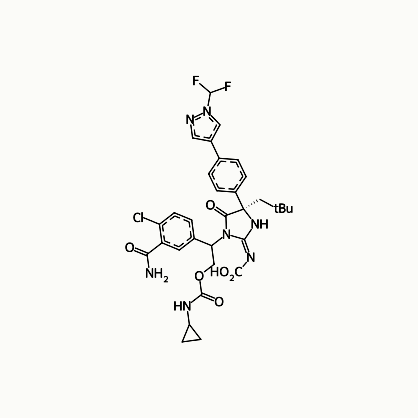 CC(C)(C)C[C@]1(c2ccc(-c3cnn(C(F)F)c3)cc2)NC(=NC(=O)O)N(C(COC(=O)NC2CC2)c2ccc(Cl)c(C(N)=O)c2)C1=O